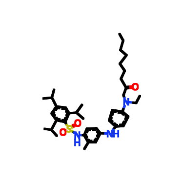 CCCCCCCC(=O)CN(CC)c1ccc(Nc2ccc(NS(=O)(=O)c3c(C(C)C)cc(C(C)C)cc3C(C)C)c(C)c2)cc1